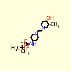 C[C@H]1CN(CCN2CCC(NC(=O)OC(C)(C)C)CC2)CC[C@@H]1O